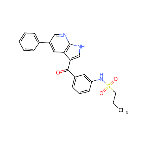 CCCS(=O)(=O)Nc1cccc(C(=O)c2c[nH]c3ncc(-c4ccccc4)cc23)c1